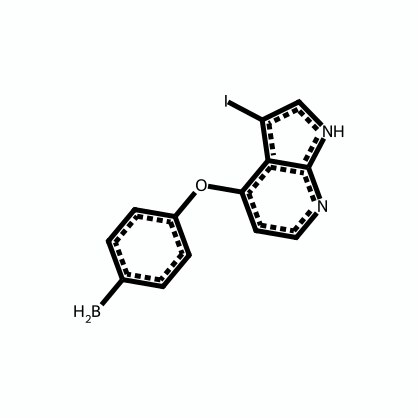 Bc1ccc(Oc2ccnc3[nH]cc(I)c23)cc1